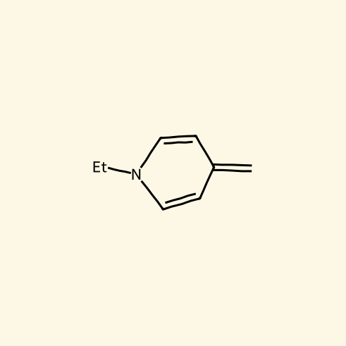 C=C1C=CN(CC)C=C1